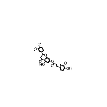 COc1ccc([C@@H]2CC(=O)c3c(O)cc(OC(=O)/C=C/c4ccc(O)c(OC)n4)cc3O2)cc1OC